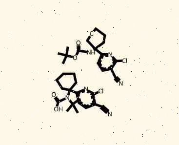 CC(C)(C)N(C(=O)O)C1(c2ccc(C#N)c(Cl)n2)CCCCC1.CC(C)(C)OC(=O)NC1(c2ccc(C#N)c(Cl)n2)CCCCC1